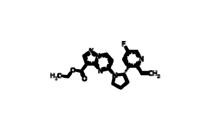 C=Cc1ncc(F)cc1[C@@H]1CCCN1c1ccn2ncc(C(=O)OCC)c2n1